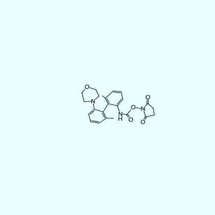 Cc1cccc(NC(=O)ON2C(=O)CCC2=O)c1-c1c(C)cccc1N1CCOCC1